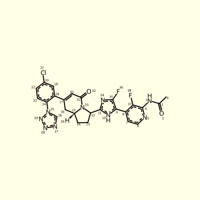 CC(=O)Nc1nccc(-c2[nH]c(C3CC[C@@H]4CC(c5cc(Cl)ccc5-n5cnnn5)=CC(=O)N34)nc2F)c1F